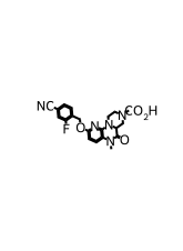 CN1C(=O)C2CN(C(=O)O)CCN2c2nc(OCc3ccc(C#N)cc3F)ccc21